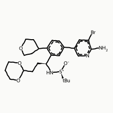 CC(C)(C)[S@+]([O-])N[C@@H](CCC1OCCCO1)c1cc(-c2cnc(N)c(Br)c2)ccc1C1CCOCC1